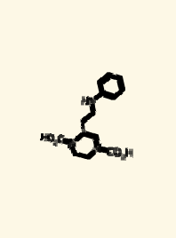 O=C(O)N1CCN(C(=O)O)[C@H](CCNc2ccccc2)C1